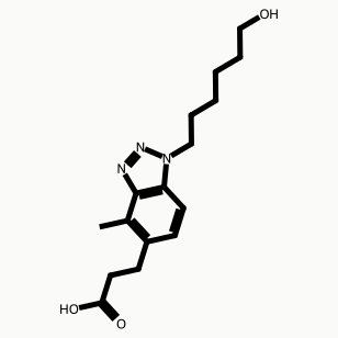 Cc1c(CCC(=O)O)ccc2c1nnn2CCCCCCO